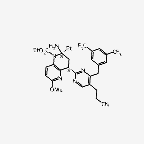 CCOC(=O)N1c2ccc(OC)nc2[C@@H](c2ncc(CCC#N)c(Cc3cc(C(F)(F)F)cc(C(F)(F)F)c3)n2)C[C@@]1(N)CC